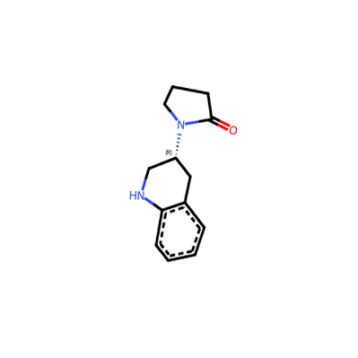 O=C1CCCN1[C@H]1CNc2ccccc2C1